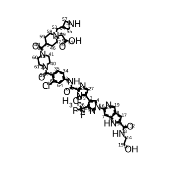 Cn1c(-c2cn(-c3cc4[nH]c(C(=O)NCCO)cc4cn3)nc2C(F)(F)F)cnc1C(=O)Nc1ccc(C(=O)N2CCN(C(=O)C3CC[N+](CC(=O)O)(CC4CNC4)CC3)CC2)c(Cl)c1